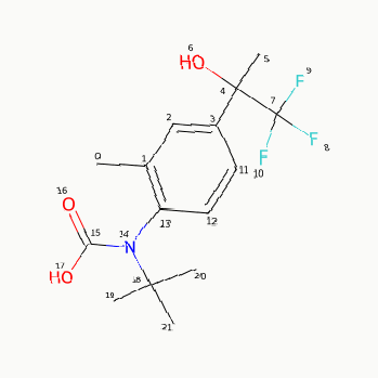 Cc1cc(C(C)(O)C(F)(F)F)ccc1N(C(=O)O)C(C)(C)C